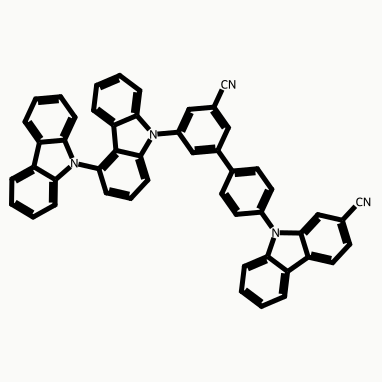 N#Cc1cc(-c2ccc(-n3c4ccccc4c4ccc(C#N)cc43)cc2)cc(-n2c3ccccc3c3c(-n4c5ccccc5c5ccccc54)cccc32)c1